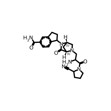 N#CC1CCCN1C(=O)C(N)CN1C[C@@H]2C[C@H]1C(=O)N2C1CCc2cc(C(N)=O)ccc21